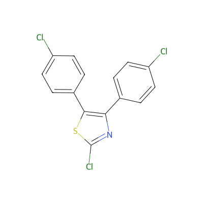 Clc1ccc(-c2nc(Cl)sc2-c2ccc(Cl)cc2)cc1